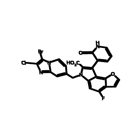 O=C(O)c1c(-c2ccc[nH]c2=O)c2c3occc3c(F)cc2n1Cc1ccn2c(Br)c(Cl)nc2c1